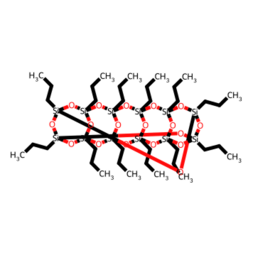 CCC[Si]12O[Si]3(CCC)O[Si]4(CCC)O[Si](CCC)(O1)O[Si]1(CCC)O[Si](CCC)(O4)O[Si]4(CCC)O[Si](CCC)(O1)O[Si]1(CCC)O[Si](CCC)(O[Si](CCC)(O[Si](CCC)(O2)O1)O3)O4